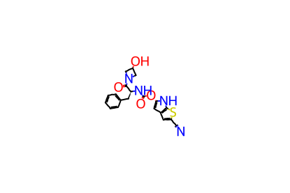 N#Cc1cc2cc(OC(=O)N[C@@H](Cc3ccccc3)C(=O)N3CC(O)C3)[nH]c2s1